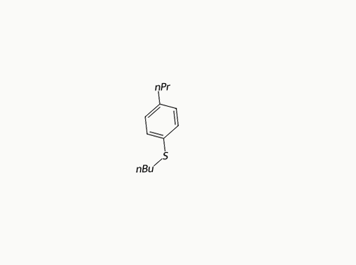 [CH2]CCc1ccc(SCCCC)cc1